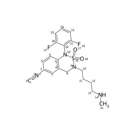 [C-]#[N+]c1ccc2c(c1)CN(CCCCNC)S(=O)(=O)N2c1c(F)cccc1F